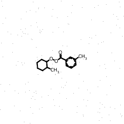 Cc1cccc(C(=O)OO[C]2CCCCC2C)c1